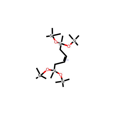 C[Si](C)(C)O[Si](C)(C/C=C\C[Si](C)(O[Si](C)(C)C)O[Si](C)(C)C)O[Si](C)(C)C